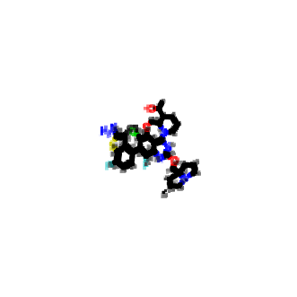 CC(O)C1CCCN2c3nc(OCC45CCCN4C[C@H](C)C5)nc4c(F)c(-c5ccc(F)c6sc(N)c(C#N)c56)c(Cl)c(c34)OCC12